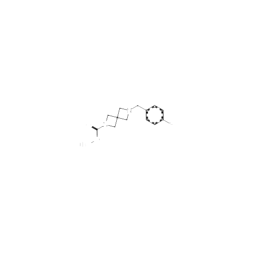 CC(C)(C)OC(=O)N1CC2(CN(Cc3ccc(F)cc3)C2)C1